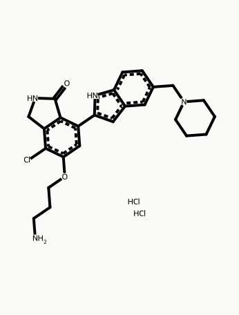 Cl.Cl.NCCCOc1cc(-c2cc3cc(CN4CCCCC4)ccc3[nH]2)c2c(c1Cl)CNC2=O